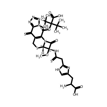 CO[C@@]1(NC(=S)Cc2nc(CC(N)C(=O)O)c[nH]2)C(=O)N2C(C(=O)OC(C(=O)O)(C(C)(C)C)C(C)(C)C)=C(C(=S)c3nnnn3C)CS[C@H]21